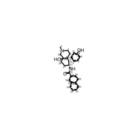 CN1CC[C@@]2(c3cccc(O)c3)C[C@H](NC(=O)c3ccc4ccccc4c3)CC[C@]2(O)C1